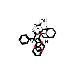 C/C(=C\c1ccccc1)C(=O)N1[C@H]2CCC[C@@H]1[C@@H](C(=O)O)N(C(=O)C(c1ccccc1)c1ccccc1)C2